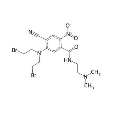 CN(C)CCNC(=O)c1cc(N(CCBr)CCBr)c(C#N)cc1[N+](=O)[O-]